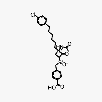 CC(=O)N[N+]1(CCCCCCc2ccc(Cl)cc2)CC([S+]([O-])Cc2ccc(C(=O)O)cc2)C1=O